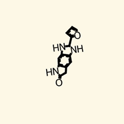 O=C1Cc2cc3c(cc2N1)NC(c1ccco1)N3